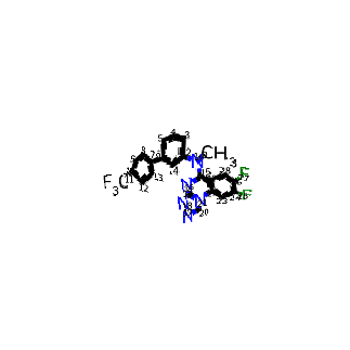 CN(c1cccc(-c2ccc(C(F)(F)F)cc2)c1)c1nc2nncn2c2cc(F)c(F)cc12